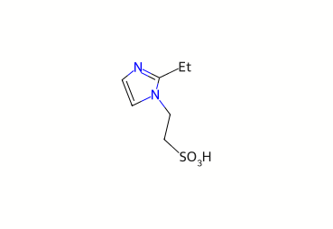 CCc1nccn1CCS(=O)(=O)O